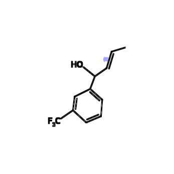 C/C=C/C(O)c1cccc(C(F)(F)F)c1